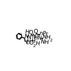 CCCC(NC(=N)N)C(=O)NC(=O)NNC(CC(=O)O)c1ccccc1